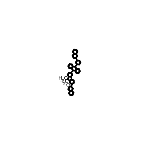 CC1(C)c2ccc(-c3c4ccccc4c(-c4cccc(-c5ccc6ccccc6c5)c4)c4ccccc34)cc2-c2ccc3c(oc4cc5ccccc5cc43)c21